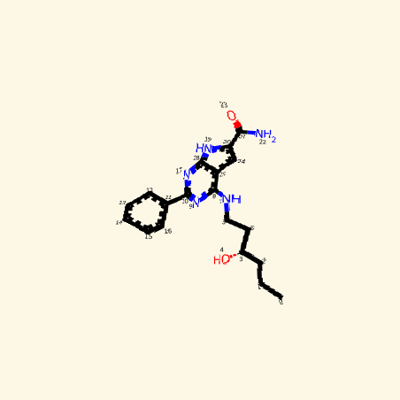 CCC[C@H](O)CCNc1nc(-c2ccccc2)nc2[nH]c(C(N)=O)cc12